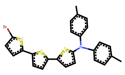 Cc1ccc(N(c2ccc(C)cc2)c2ccc(-c3ccc(-c4ccc(Br)s4)s3)s2)cc1